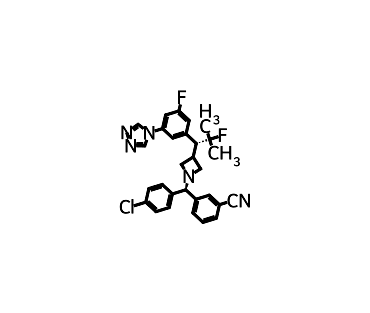 CC(C)(F)[C@@H](c1cc(F)cc(-n2cnnc2)c1)C1CN([C@H](c2ccc(Cl)cc2)c2cccc(C#N)c2)C1